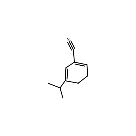 CC(C)C1=CC(C#N)=CCC1